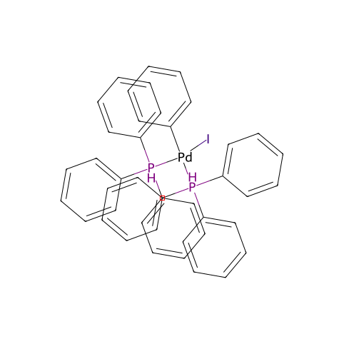 [I][Pd]([c]1ccccc1)([PH](c1ccccc1)(c1ccccc1)c1ccccc1)[PH](c1ccccc1)(c1ccccc1)c1ccccc1